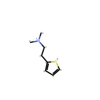 CN(C)CCc1cccs1